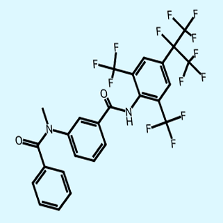 CN(C(=O)c1ccccc1)c1cccc(C(=O)Nc2c(C(F)(F)F)cc(C(F)(C(F)(F)F)C(F)(F)F)cc2C(F)(F)F)c1